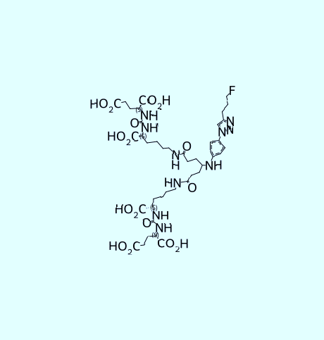 O=C(O)CC[C@H](NC(=O)N[C@@H](CCCCNC(=O)CCC(CCC(=O)NCCCC[C@H](NC(=O)N[C@@H](CCC(=O)O)C(=O)O)C(=O)O)Nc1ccc(-n2cc(CCCF)nn2)cc1)C(=O)O)C(=O)O